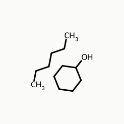 CCCCCC.OC1CCCCC1